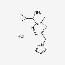 Cc1cc(Cn2ccnc2)cnc1C(N)C1CC1.Cl